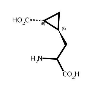 NC(C[C@@H]1C[C@H]1C(=O)O)C(=O)O